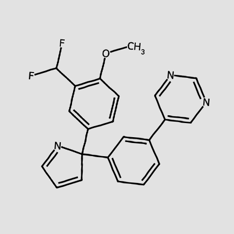 COc1ccc(C2(c3cccc(-c4cncnc4)c3)C=CC=N2)cc1C(F)F